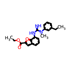 CCOC(=O)c1cc2cccc(NC(=N)N(C)c3cccc(CC)c3)c2o1